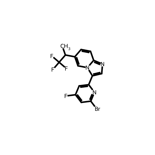 CC(c1ccc2ncc(-c3cc(F)cc(Br)n3)n2c1)C(F)(F)F